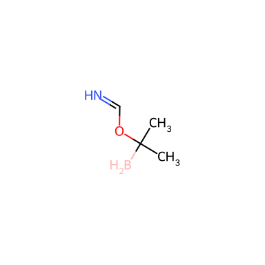 BC(C)(C)OC=N